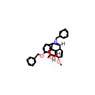 CO[C@]12C=C[C@@]3(C[C@@H]1C(C)=O)[C@H]1Cc4ccc(OCc5ccccc5)c5c4[C@@]3(CCN1Cc1ccccc1)[C@H]2O5